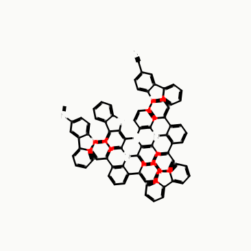 C=Nc1ccc2c(c1)c1ccccc1n2-c1cc2c(c3oc4ccccc4c13)B1c3ccc(-n4c5ccccc5c5cc(C#N)ccc54)cc3N(c3c(-c4ccccc4)cccc3-c3ccccc3)c3cc(-n4c5ccccc5c5ccccc54)cc(c31)N2c1c(-c2ccccc2)cccc1-c1ccccc1